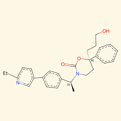 CCc1ccc(-c2ccc([C@H](C)N3CC[C@](CCCO)(c4ccccc4)OC3=O)cc2)cn1